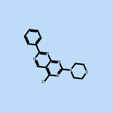 Clc1nc(N2CCOCC2)nc2nc(-c3ccccc3)ncc12